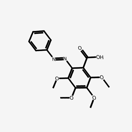 COc1c(N=Nc2ccccc2)c(C(=O)O)c(OC)c(OC)c1OC